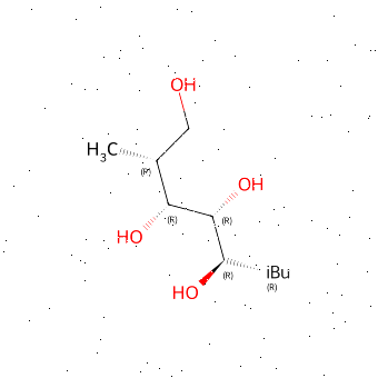 CC[C@@H](C)[C@@H](O)[C@@H](O)[C@H](O)[C@H](C)CO